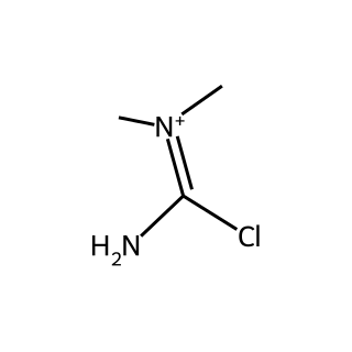 C[N+](C)=C(N)Cl